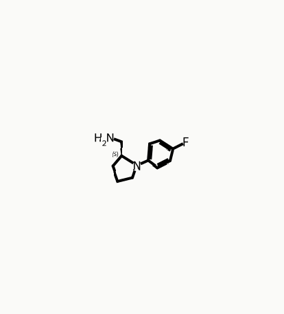 NC[C@@H]1CCCN1c1ccc(F)cc1